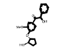 COc1cc(C(=O)C(O)c2ccccc2)ccc1O[C@@H]1CCC[C@H]1O